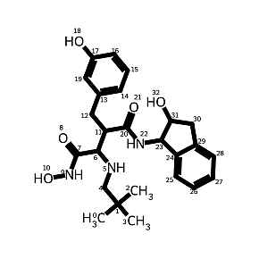 CC(C)(C)CNC(C(=O)NO)C(Cc1cccc(O)c1)C(=O)NC1c2ccccc2CC1O